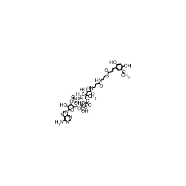 COc1cc(/C=C/C(=O)SCCNC(=O)CCNC(=O)C(O)C(C)(C)COP(=O)(O)OP(=O)(O)OC[C@H]2O[C@@H](n3cnc4c(N)ncnc43)[C@H](O)[C@@H]2OP(=O)(O)O)c(O)cc1O